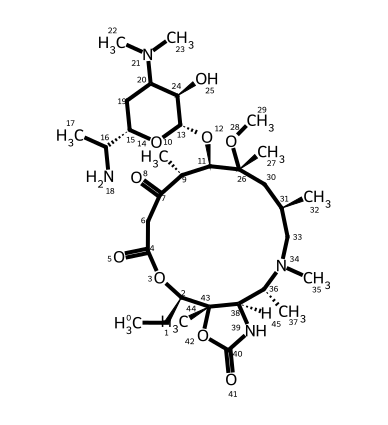 CC[C@H]1OC(=O)CC(=O)[C@H](C)[C@@H](O[C@@H]2O[C@H](C(C)N)CC(N(C)C)[C@H]2O)[C@](C)(OC)C[C@@H](C)CN(C)[C@H](C)[C@H]2NC(=O)O[C@@]21C